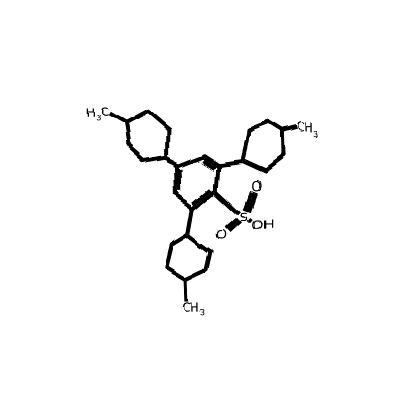 CC1CCC(c2cc(C3CCC(C)CC3)c(S(=O)(=O)O)c(C3CCC(C)CC3)c2)CC1